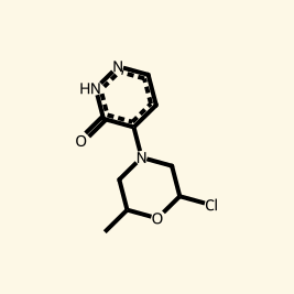 CC1CN(c2ccn[nH]c2=O)CC(Cl)O1